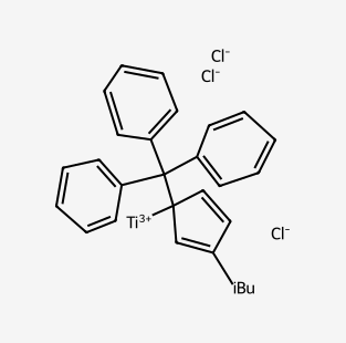 CCC(C)C1=C[C]([Ti+3])(C(c2ccccc2)(c2ccccc2)c2ccccc2)C=C1.[Cl-].[Cl-].[Cl-]